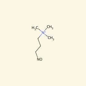 C[N+](C)(C)CCCN=O